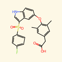 Cc1cc(CC(=O)O)cc(C)c1Oc1ccc2[nH]cc(S(=O)(=O)c3ccc(F)cc3)c2c1